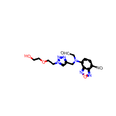 O=CCN(Cc1cn(CCOCCO)nn1)c1ccc(N=O)c2nonc12